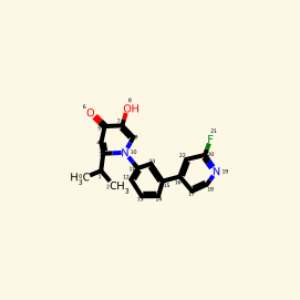 CC(C)c1cc(=O)c(O)cn1-c1cccc(-c2ccnc(F)c2)c1